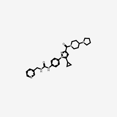 O=C(NCc1cccnc1)Nc1ccc(-n2nc(C(=O)N3CCC(N4CCCC4)CC3)cc2C2CC2)cc1